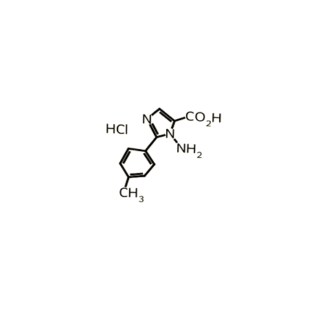 Cc1ccc(-c2ncc(C(=O)O)n2N)cc1.Cl